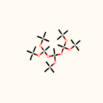 C[Si](C)(C)O[Si](C)(O[Si](C)(C)C)O[Si](C)(O[Si](C)(C)C)O[Si](C)(O[Si](C)(C)C)O[Si](C)(C)C